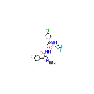 CC(C)(C)N1C[C@@H](C(=O)NCCC[C@H](NC(=O)C2CC(F)(F)C2)C2C=CC(Cl)=CC2)[C@H](c2ccc(F)cc2F)C1